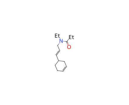 CCC(=O)N(CC)C/C=C/C1CC=CCC1